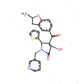 CC1Cc2cc(C(=O)C3=C(O)C(=O)N(Cc4cccnc4)C3c3cccs3)ccc2O1